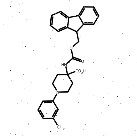 Cc1cccc(N2CCC(NC(=O)OCC3c4ccccc4-c4ccccc43)(C(=O)O)CC2)c1